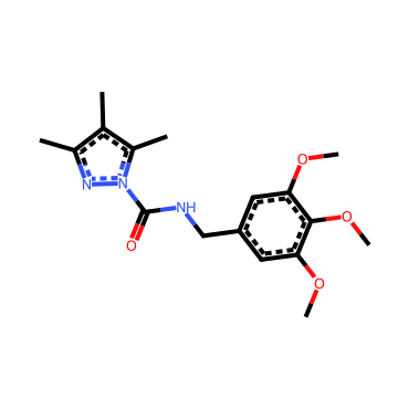 COc1cc(CNC(=O)n2nc(C)c(C)c2C)cc(OC)c1OC